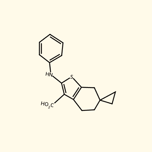 O=C(O)c1c(Nc2ccccc2)sc2c1CCC1(CC1)C2